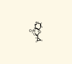 O=C(Oc1ccncc1[N+](=O)[O-])C1CC1